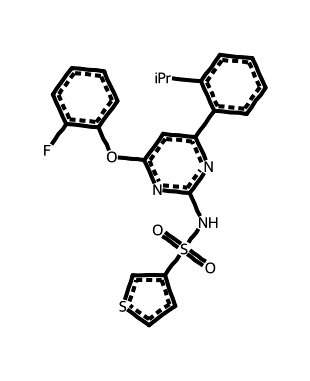 CC(C)c1ccccc1-c1cc(Oc2ccccc2F)nc(NS(=O)(=O)c2ccsc2)n1